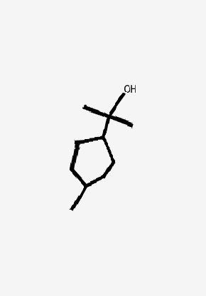 C[C]1CCC(C(C)(C)O)CC1